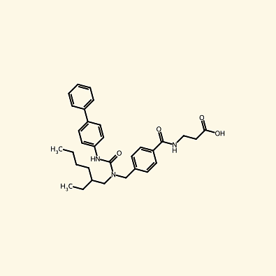 CCCCC(CC)CN(Cc1ccc(C(=O)NCCC(=O)O)cc1)C(=O)Nc1ccc(-c2ccccc2)cc1